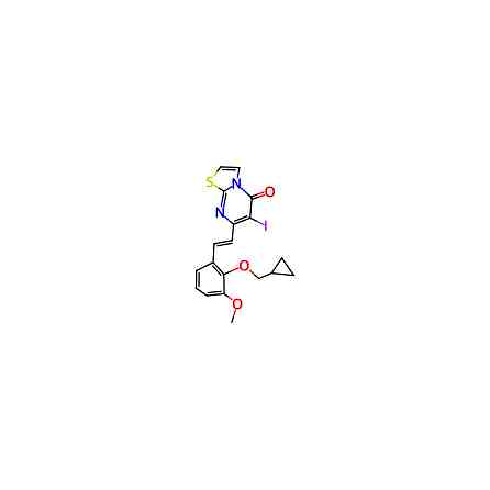 COc1cccc(C=Cc2nc3sccn3c(=O)c2I)c1OCC1CC1